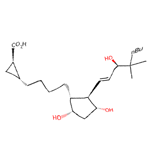 CCCCC(C)(C)[C@H](O)/C=C/[C@@H]1[C@@H](CCCC[C@@H]2C[C@H]2C(=O)O)[C@@H](O)C[C@H]1O